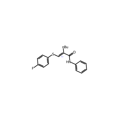 CCCC/C(=C\Sc1ccc(F)cc1)C(=O)Nc1ccccc1